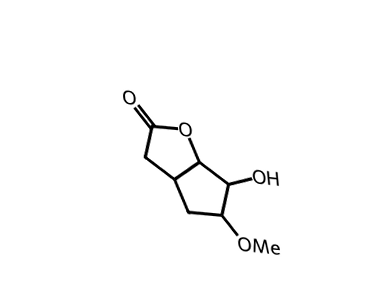 COC1CC2CC(=O)OC2C1O